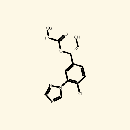 CC(C)(C)NC(=O)O[C@H](CO)c1ccc(Cl)c(-n2cncn2)c1